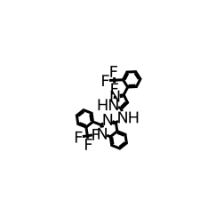 FC(F)(F)c1ccccc1-c1cc(Nc2nc(-c3ccccc3C(F)(F)F)nc3ccccc23)[nH]n1